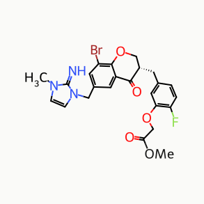 COC(=O)COc1cc(C[C@H]2COc3c(Br)cc(Cn4ccn(C)c4=N)cc3C2=O)ccc1F